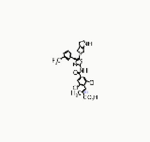 C/C(=C\c1c(Cl)cc(C(=O)Nc2nc(-c3cccc(C(F)(F)F)c3)c(N3CC4CCNC4C3)s2)cc1Cl)C(=O)O